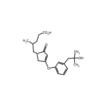 CC(CCC(=O)O)CN1CC(Oc2cccc(CC(C)(C)O)c2)=CC1=O